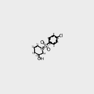 O=S(=O)(c1ccc(Cl)cc1)N1CCCC(O)C1